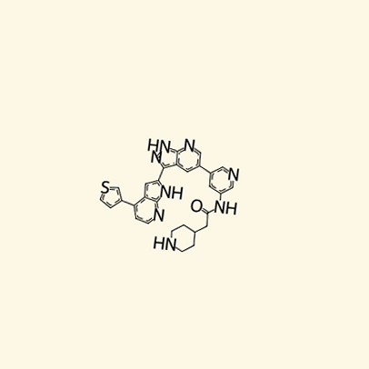 O=C(CC1CCNCC1)Nc1cncc(-c2cnc3[nH]nc(-c4cc5c(-c6ccsc6)ccnc5[nH]4)c3c2)c1